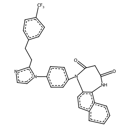 O=C1CC(=O)N(c2ccc(-n3ccnc3CCc3ccc(C(F)(F)F)cc3)cc2)c2ccc3ccccc3c2N1